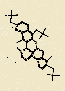 Cc1c2c(c(CC(C)(C)C)c3ccc(CC(C)(C)C)cc13)Sc1cc3c(C)c(CC(C)(C)C)ccc3c3cc[n+](C)c-2c13